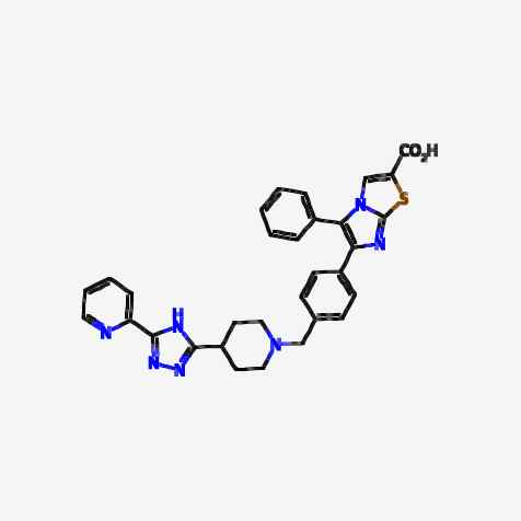 O=C(O)c1cn2c(-c3ccccc3)c(-c3ccc(CN4CCC(c5nnc(-c6ccccn6)[nH]5)CC4)cc3)nc2s1